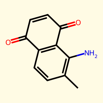 Cc1ccc2c(c1N)C(=O)C=CC2=O